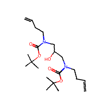 C=CCCN(CC(O)CN(CCC=C)C(=O)OC(C)(C)C)C(=O)OC(C)(C)C